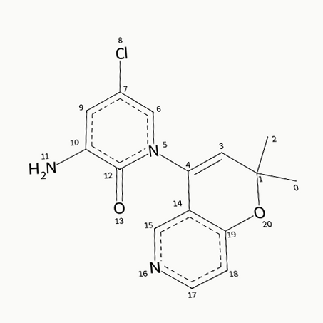 CC1(C)C=C(n2cc(Cl)cc(N)c2=O)c2cnccc2O1